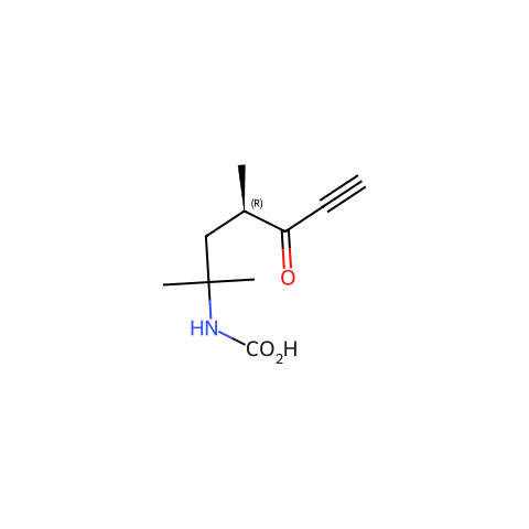 C#CC(=O)[C@H](C)CC(C)(C)NC(=O)O